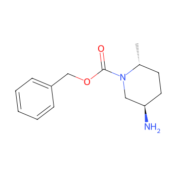 C[C@@H]1CC[C@@H](N)CN1C(=O)OCc1ccccc1